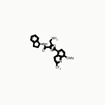 COc1ccc(-c2nc(C(=O)N[C@H]3CCc4ccccc43)c(CN)o2)c2ccc(C(F)(F)F)nc12